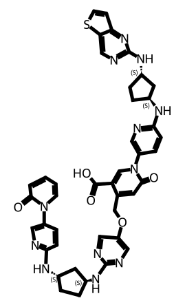 O=C(O)c1cn(-c2ccc(N[C@H]3CC[C@H](Nc4ncc5sccc5n4)C3)nc2)c(=O)cc1COc1cnc(N[C@H]2CC[C@H](Nc3ccc(-n4ccccc4=O)cn3)C2)nc1